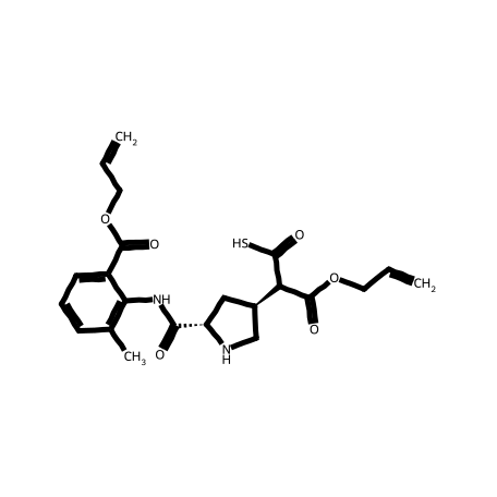 C=CCOC(=O)c1cccc(C)c1NC(=O)[C@@H]1C[C@@H](C(C(=O)S)C(=O)OCC=C)CN1